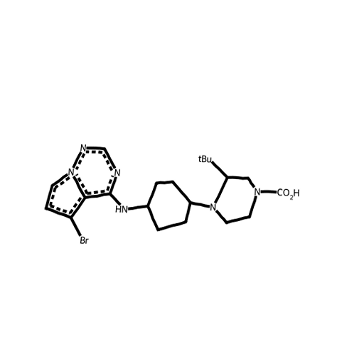 CC(C)(C)C1CN(C(=O)O)CCN1C1CCC(Nc2ncnn3ccc(Br)c23)CC1